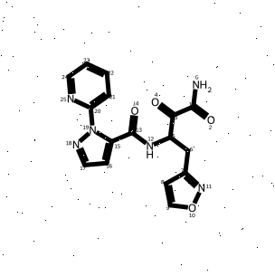 NC(=O)C(=O)C(Cc1ccon1)NC(=O)c1ccnn1-c1ccccn1